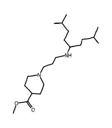 COC(=O)C1CCN(CCCNC(CCC(C)C)CCC(C)C)CC1